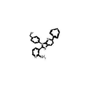 Nc1ncccc1-c1nc2ccc(-c3ccccc3)nc2n1-c1ccc(CBr)cc1